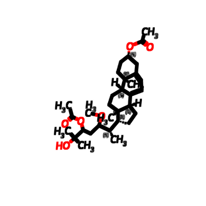 COC(CC(OC(C)=O)C(C)(C)O)[C@@H](C)[C@H]1CC[C@H]2C3=CC=C4C[C@@H](OC(C)=O)CC[C@]4(C)[C@H]3CC[C@]12C